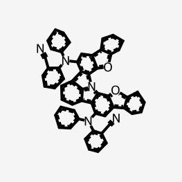 N#Cc1ccccc1N(c1ccccc1)c1cc2c3ccccc3oc2c2c1c1cccc3c4c(N(c5ccccc5)c5ccccc5C#N)cc5c6ccccc6oc5c4n2c13